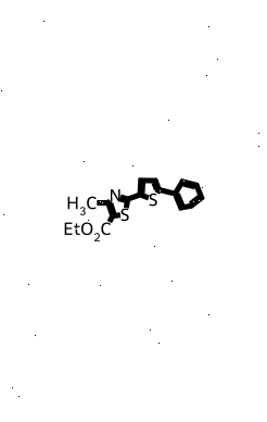 CCOC(=O)c1sc(-c2ccc(-c3ccccc3)s2)nc1C